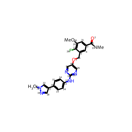 CNC(=O)c1cc(COc2cnc(Nc3ccc(-c4cnn(C)c4)cc3)nc2)c(F)c(OC)c1